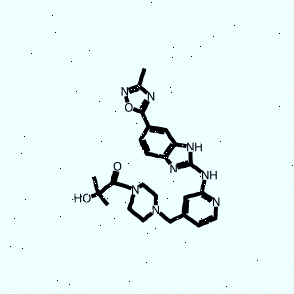 Cc1noc(-c2ccc3nc(Nc4cc(CN5CCN(C(=O)C(C)(C)O)CC5)ccn4)[nH]c3c2)n1